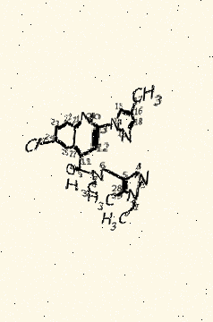 CCn1ncc(CN(C)C(=O)c2cc(-n3cc(C)cn3)nc3ccc(Cl)cc23)c1C